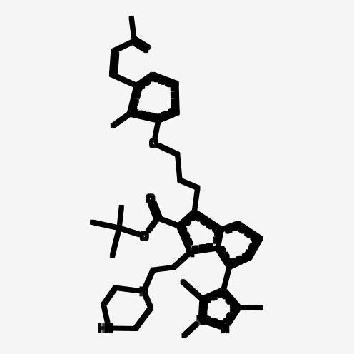 C=C(C)/C=C\c1cccc(OCCCc2c(C(=O)OC(C)(C)C)n(CCN3CCNCC3)c3c(-c4c(C)nn(C)c4C)cccc23)c1C